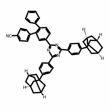 N#Cc1ccc(-c2cc(-c3nc(-c4ccc(C56C[C@H]7C[C@@H](C5)C[C@@H](C6)C7)cc4)nc(-c4ccc(C56C[C@H]7C[C@@H](C5)C[C@@H](C6)C7)cc4)n3)ccc2-c2ccccc2)cc1